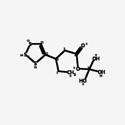 CCC(CC(=O)OC(O)(O)O)C1=CSSS1